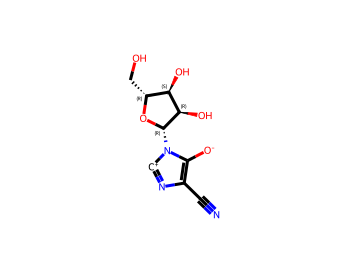 N#CC1=C([O-])N([C@@H]2O[C@H](CO)[C@@H](O)[C@H]2O)[C+]=N1